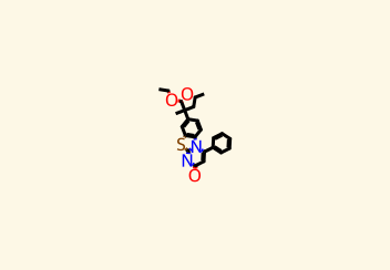 CCCC(C)(C(=O)OCC)c1ccc2c(c1)sc1nc(=O)cc(-c3ccccc3)n12